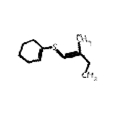 CC/C(C)=C/SC1=CCCCC1